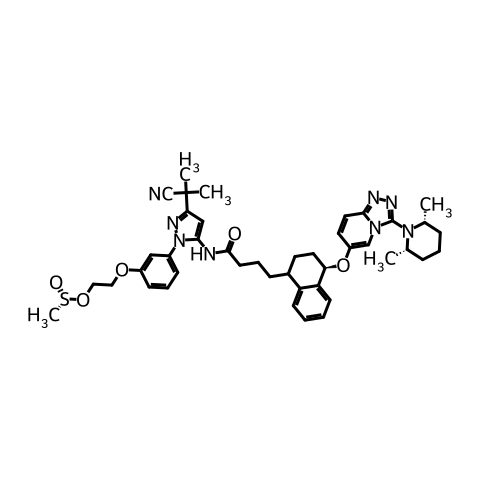 C[C@@H]1CCC[C@H](C)N1c1nnc2ccc(O[C@@H]3CCC(CCCC(=O)Nc4cc(C(C)(C)C#N)nn4-c4cccc(OCCOS(C)=O)c4)c4ccccc43)cn12